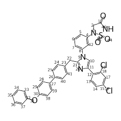 O=C1CN(c2cccc(-n3cc(-c4ccc(Cl)cc4Cl)nc3Cc3ccc(-c4ccc(Oc5ccccc5)cc4)cc3)c2)S(=O)(=O)N1